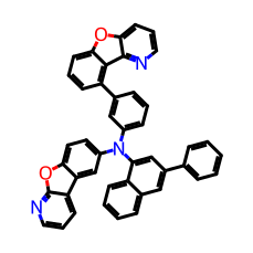 c1ccc(-c2cc(N(c3cccc(-c4cccc5oc6cccnc6c45)c3)c3ccc4oc5ncccc5c4c3)c3ccccc3c2)cc1